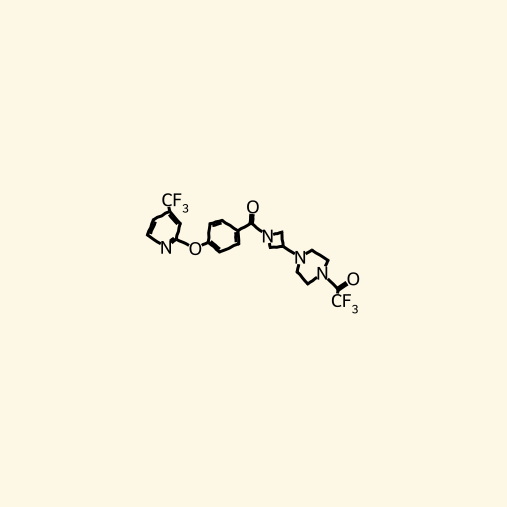 O=C(c1ccc(Oc2cc(C(F)(F)F)ccn2)cc1)N1CC(N2CCN(C(=O)C(F)(F)F)CC2)C1